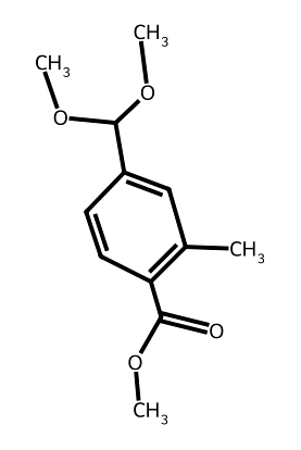 COC(=O)c1ccc(C(OC)OC)cc1C